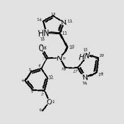 COc1cccc(C(=O)N(Cc2ncc[nH]2)Cc2ncc[nH]2)c1